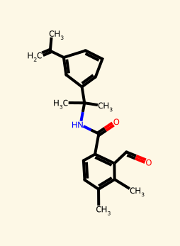 C=C(C)c1cccc(C(C)(C)NC(=O)c2ccc(C)c(C)c2C=O)c1